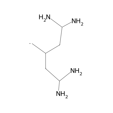 [CH2]C(CC(N)N)CC(N)N